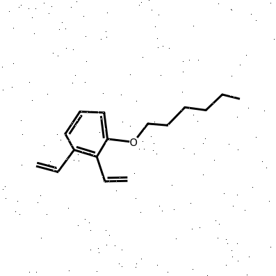 C=Cc1cccc(OCCCCCC)c1C=C